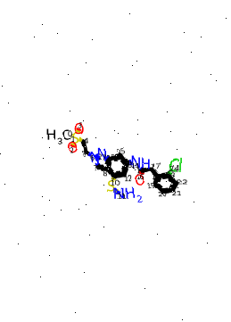 CS(=O)(=O)CCn1cc2c(SN)cc(NC(=O)Cc3ccccc3Cl)cc2n1